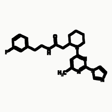 Cc1cc(N2CCCCC2CC(=O)NCCc2cccc(F)c2)nc(-n2ccnc2)n1